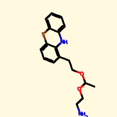 CC(OCCN)OCCc1cccc2c1Nc1ccccc1S2